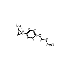 NC1C[C@@H]1c1ccc(OCCCCl)cc1